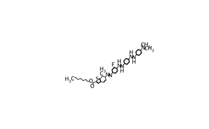 CCCCCCCOC(=O)c1cc2c(s1)C(C)C(/N=N/c1ccc(NNc3ccc(NNc4ccc(N(C)C)cc4)cc3)c(F)c1)C=C2